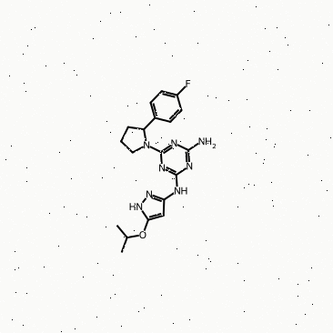 CC(C)Oc1cc(Nc2nc(N)nc(N3CCCC3c3ccc(F)cc3)n2)n[nH]1